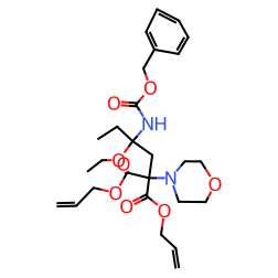 C=CCOC(=O)C(CC(CC)(NC(=O)OCc1ccccc1)OCC)(C(=O)OCC=C)N1CCOCC1